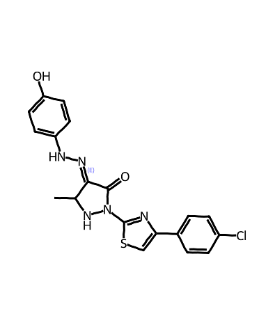 CC1NN(c2nc(-c3ccc(Cl)cc3)cs2)C(=O)/C1=N/Nc1ccc(O)cc1